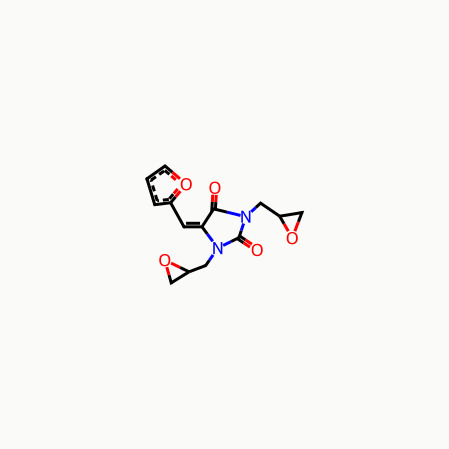 O=C1C(=Cc2ccco2)N(CC2CO2)C(=O)N1CC1CO1